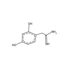 N=C(N)Cc1ccc(O)cc1O